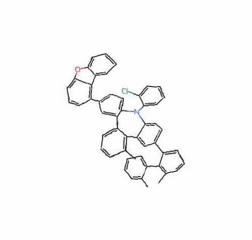 Cc1ccccc1-c1c(C)cccc1-c1ccc2c(c1)-c1c(C)cccc1-c1cc(-c3cccc4oc5ccccc5c34)ccc1N2c1ccccc1Cl